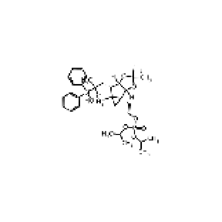 CC(C)OP(=O)(O/C=C/[C@]12C[C@@H]1[C@H](CC(C)(C)[Si](O)(c1ccccc1)c1ccccc1)[C@@H]1OC(C)(C)O[C@@H]12)OC(C)C